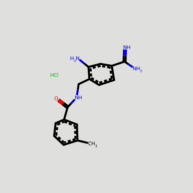 Cc1cccc(C(=O)NCc2ccc(C(=N)N)cc2N)c1.Cl